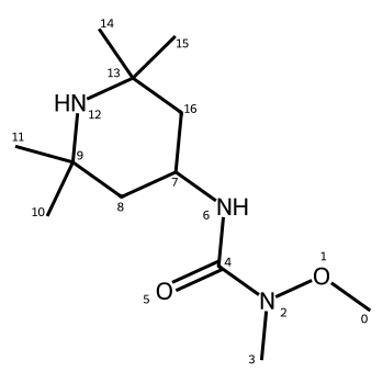 CON(C)C(=O)NC1CC(C)(C)NC(C)(C)C1